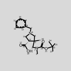 CN(CC1(C)CN(Cc2ccccc2)C[C@H]1C(=O)O)C(=O)OC(C)(C)C